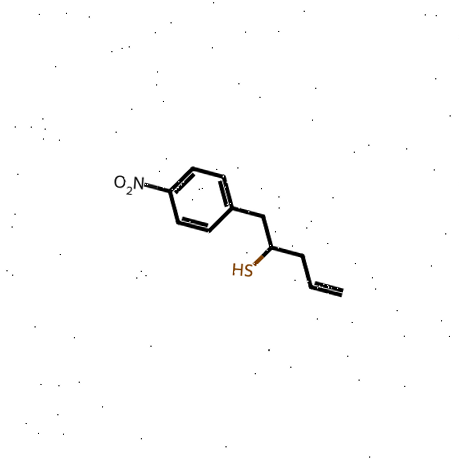 C=CCC(S)Cc1ccc([N+](=O)[O-])cc1